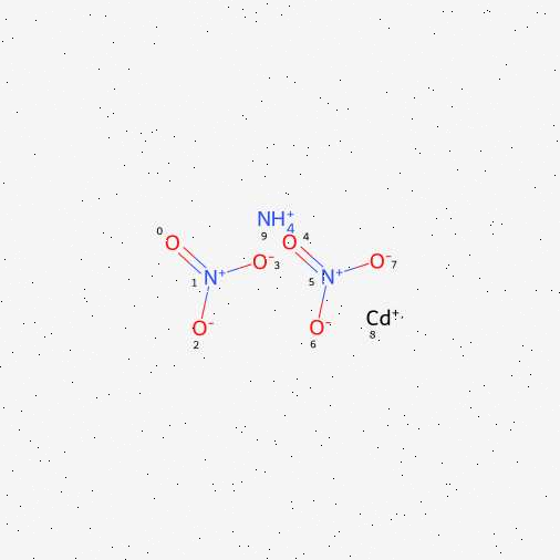 O=[N+]([O-])[O-].O=[N+]([O-])[O-].[Cd+].[NH4+]